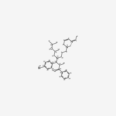 C/C=N\C=C/CN(C)CCCN(CC(C)OC(C)C)C(c1ccc(Br)cc1)C(C)C(=O)c1ccccc1